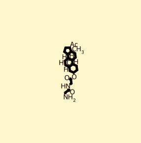 CC(=O)[C@H]1CC[C@H]2[C@@H]3CC[C@H]4C[C@H](OC(=O)CNC(=O)CN)CC[C@]4(C)[C@H]3CC[C@]12C